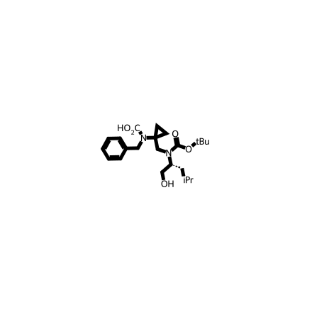 CC(C)C[C@H](CO)N(CC1(N(Cc2ccccc2)C(=O)O)CC1)C(=O)OC(C)(C)C